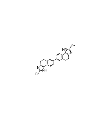 CC(C)c1nc2c([nH]1)-c1ccc(-c3ccc4c(c3)CCc3nc(C(C)C)[nH]c3-4)cc1CC2